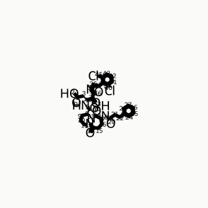 O=C(O)C[C@H](NC(=O)[C@@H]1CCCN2C(=O)CC[C@H](NC(=O)CCc3ccccc3)C(=O)N12)C(=O)c1ncc(-c2c(Cl)cccc2Cl)o1